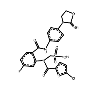 N=C1OCCN1c1ccc(NC(=O)c2ccc(F)cc2N(CS(=O)(=O)O)C(=O)c2ccc(Cl)s2)cc1